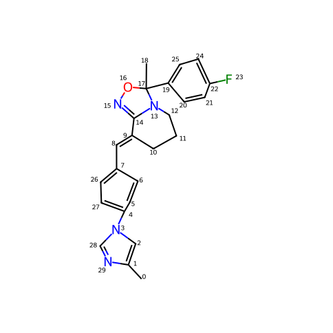 Cc1cn(-c2ccc(/C=C3\CCCN4C3=NOC4(C)c3ccc(F)cc3)cc2)cn1